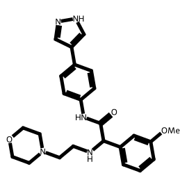 COc1cccc(C(NCCN2CCOCC2)C(=O)Nc2ccc(-c3cn[nH]c3)cc2)c1